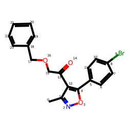 Cc1noc(-c2ccc(Br)cc2)c1C(=O)COCc1ccccc1